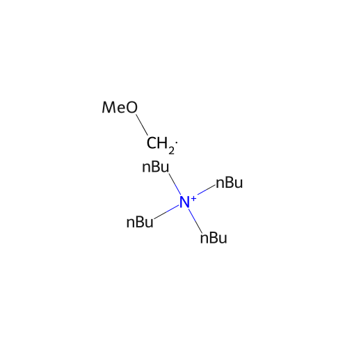 CCCC[N+](CCCC)(CCCC)CCCC.[CH2]OC